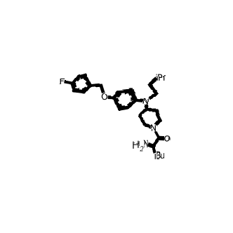 CCC(C)C(N)C(=O)N1CCC(N(CCC(C)C)c2ccc(OCc3ccc(F)cc3)cc2)CC1